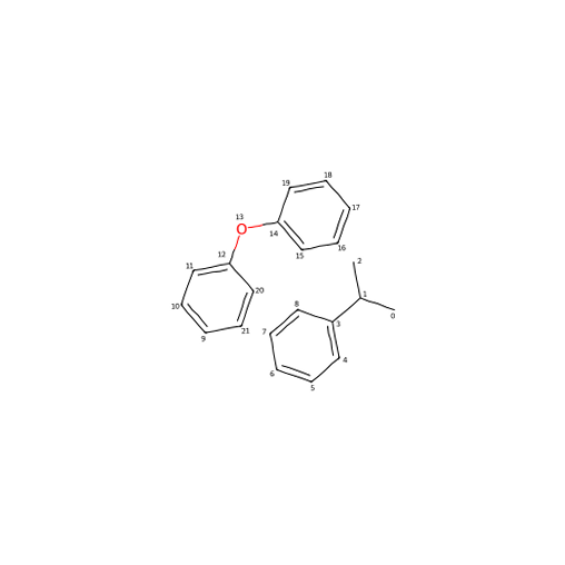 CC(C)c1ccccc1.c1ccc(Oc2ccccc2)cc1